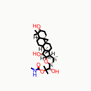 CNC(=O)OC(C)(C)[C@@H](O)[C@H]1C[C@@H](C)[C@H]2[C@H](O1)[C@H](O)[C@@]1(C)[C@@H]3CC[C@H]4C(C)(C)[C@@H](O)CC[C@@]45C[C@@]35CC[C@]21C